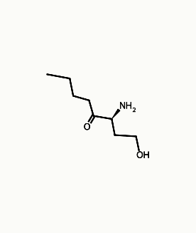 CCCCC(=O)[C@@H](N)CCO